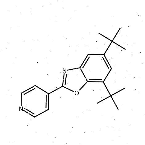 CC(C)(C)c1cc(C(C)(C)C)c2oc(-c3ccncc3)nc2c1